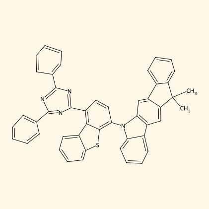 CC1(C)c2ccccc2-c2cc3c(cc21)c1ccccc1n3-c1ccc(-c2nc(-c3ccccc3)nc(-c3ccccc3)n2)c2c1sc1ccccc12